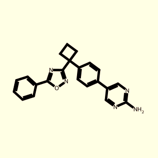 Nc1ncc(-c2ccc(C3(c4noc(-c5ccccc5)n4)CCC3)cc2)cn1